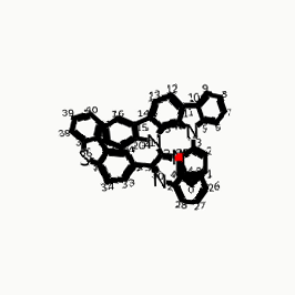 c1ccc(-n2c3ccccc3c3ccc4c5ccccc5n(-c5nc6ccccc6nc5-c5ccc6sc7ccccc7c6c5)c4c32)cc1